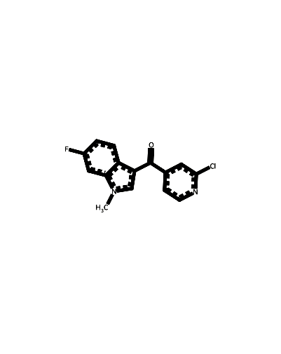 Cn1cc(C(=O)c2ccnc(Cl)c2)c2ccc(F)cc21